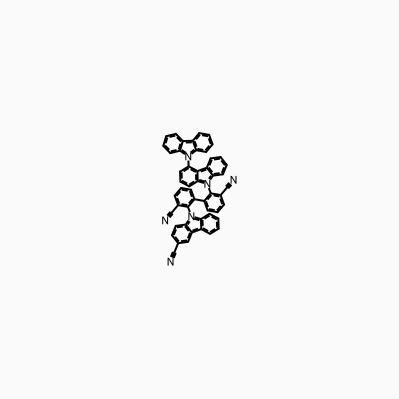 N#Cc1ccc2c(c1)c1ccccc1n2-c1c(C#N)cccc1-c1cccc(C#N)c1-n1c2ccccc2c2c(-n3c4ccccc4c4ccccc43)cccc21